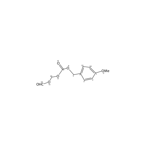 COc1ccc(COC(=O)OCOC=O)cc1